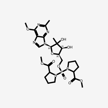 COC(=O)C1CCCN1P(=O)(OC[C@H]1O[C@@H](n2cnc3c(OC)nc(C)nc32)C(C)(O)[C@H]1O)N1CCCC1C(=O)OC